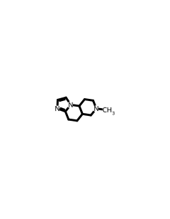 CN1CCC2C(CCc3nccn32)C1